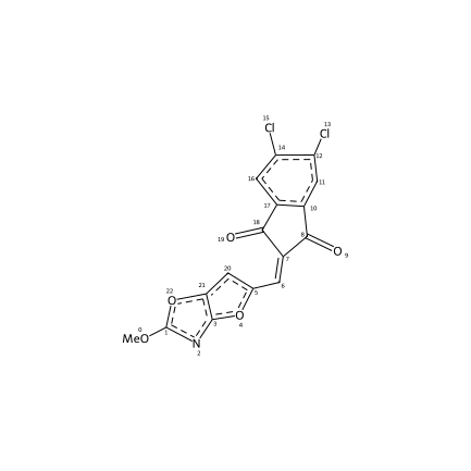 COc1nc2oc(C=C3C(=O)c4cc(Cl)c(Cl)cc4C3=O)cc2o1